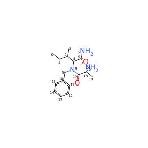 CCC(C)C(C(N)=O)N(Cc1ccccc1)C(=O)C(C)N